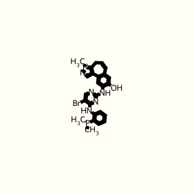 Cn1ncc2c1CC=Cc1cc(O)c(Nc3ncc(Br)c(Nc4ccccc4P(C)C)n3)cc1-2